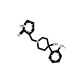 Cc1ccccc1C1(O)CCN(Cc2ccc[nH]c2=O)CC1